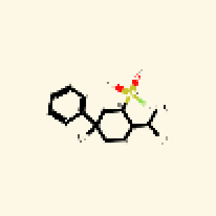 CC(C)C1CCC(C)(c2ccccc2)CC1S(=O)(=O)F